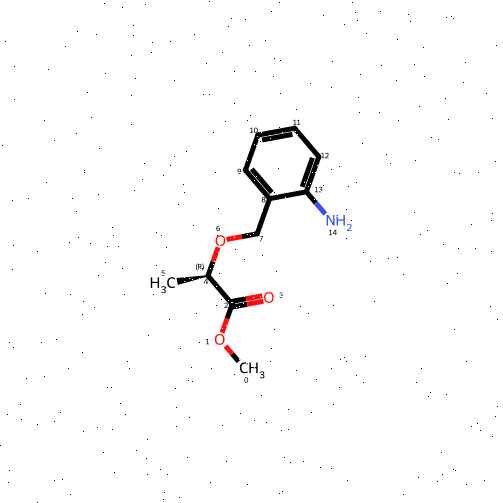 COC(=O)[C@@H](C)OCc1ccccc1N